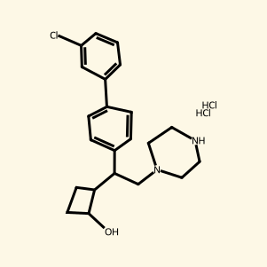 Cl.Cl.OC1CCC1C(CN1CCNCC1)c1ccc(-c2cccc(Cl)c2)cc1